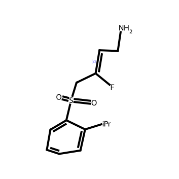 CC(C)c1ccccc1S(=O)(=O)C/C(F)=C/CN